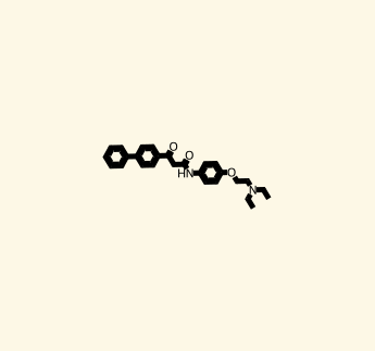 CCN(CC)CCOc1ccc(NC(=O)CC(=O)c2ccc(-c3ccccc3)cc2)cc1